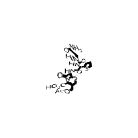 CC(=O)OCC1=C(C(=O)O)N2C(=O)[C@H](NC(=O)C(NC(=O)NCC(N)=O)c3cccs3)C2SC1